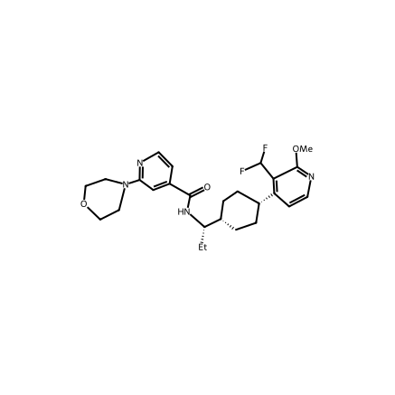 CC[C@H](NC(=O)c1ccnc(N2CCOCC2)c1)[C@H]1CC[C@@H](c2ccnc(OC)c2C(F)F)CC1